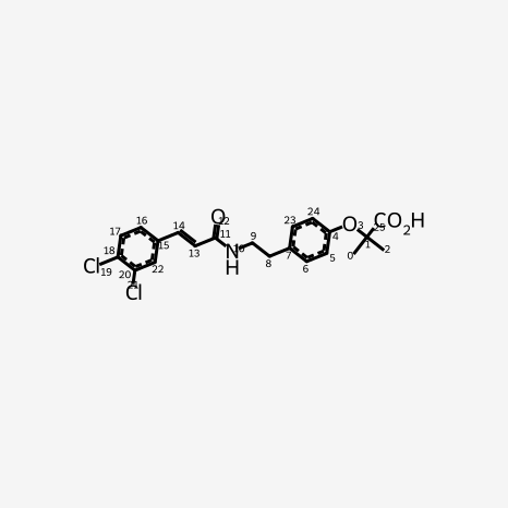 CC(C)(Oc1ccc(CCNC(=O)/C=C/c2ccc(Cl)c(Cl)c2)cc1)C(=O)O